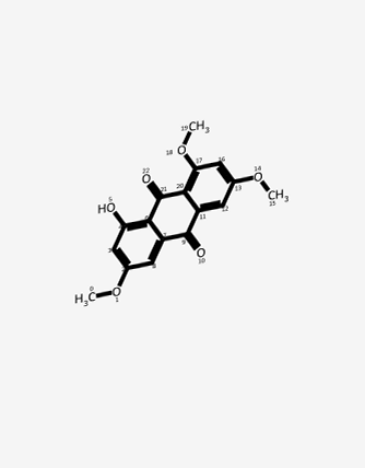 COc1cc(O)c2c(c1)C(=O)c1cc(OC)cc(OC)c1C2=O